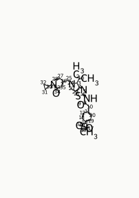 CC(C)C1c2nc(NC(=O)Cc3ccc(S(C)(=O)=O)cc3)sc2CN1Cc1ccn(C2CC2)c(=O)c1